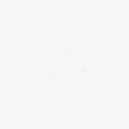 CC(C)OC(CPCCCC(CCPCC(OC(C)C)OC(C)C)OCCN)OC(C)C